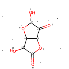 O=C1OC2C(=O)C(O)OC2C1O